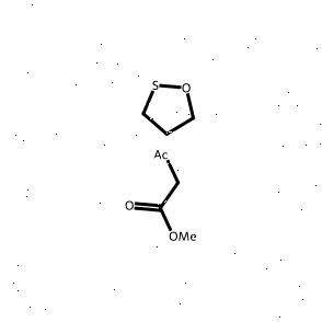 C1COSC1.COC(=O)CC(C)=O